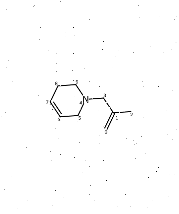 C=C(C)CN1CC=[C]CC1